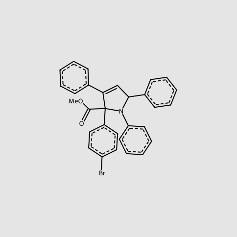 COC(=O)C1(c2ccc(Br)cc2)C(c2ccccc2)=CC(c2ccccc2)N1c1ccccc1